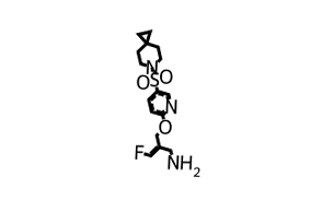 NC/C(=C/F)COc1ccc(S(=O)(=O)N2CCC3(CC2)CC3)cn1